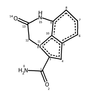 NC(=O)c1cc2cccc3c2n1CC(=O)N3